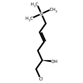 C[Si](C)(C)CC=CC[C@@H](O)CCl